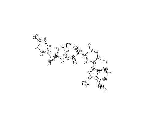 Cc1cc(F)c(-c2cc(C(F)(F)F)c3c(N)ncnn23)cc1C(=O)N[C@@H]1CN(C(=O)c2ccc(Cl)cc2)C[C@@H]1F